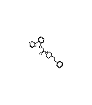 O=C(COc1ccccc1-c1cnccn1)N1CCC(CCc2ccccc2)CC1